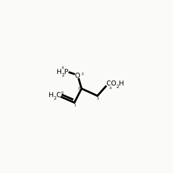 C=CC(CC(=O)O)OP